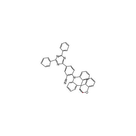 N#Cc1cc(-c2nc(-c3ccccc3)nc(-c3ccccc3)n2)ccc1N1c2ccccc2C2(c3ccccc3Oc3ccccc32)c2ccccc21